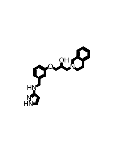 OC(COc1cccc(CNc2cc[nH]n2)c1)CN1CCc2ccccc2C1